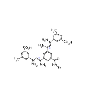 CCNC(=O)c1cc(/C(N)=C/N(N)c2cc(C(=O)O)cc(C(F)(F)F)c2)nc(/C(N)=C/N(N)c2cc(C(=O)O)cc(C(F)(F)F)c2)c1